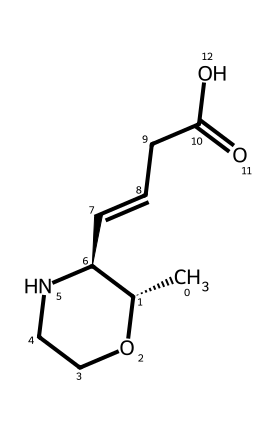 C[C@@H]1OCCN[C@H]1/C=C/CC(=O)O